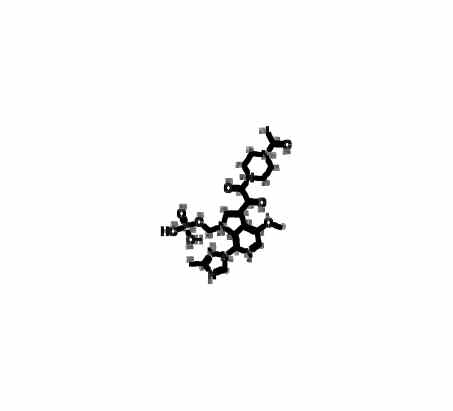 COc1cnc(-n2cnc(C)n2)c2c1c(C(=O)C(=O)N1CCN(C(=O)I)CC1)cn2COP(=O)(O)O